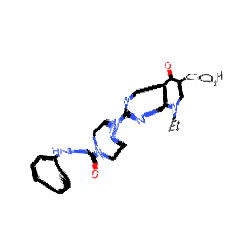 CCn1cc(C(=O)O)c(=O)c2cnc(N3CCN(C(=O)Nc4ccccc4)CC3)nc21